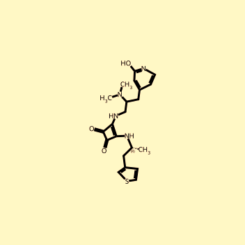 C[C@H](Cc1ccsc1)Nc1c(NCC(Cc2ccnc(O)c2)N(C)C)c(=O)c1=O